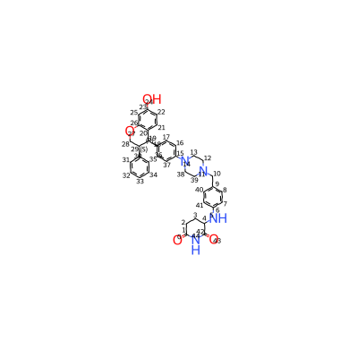 O=C1CCC(Nc2ccc(CN3CCN(c4ccc([C@@H]5c6ccc(O)cc6OC[C@@H]5c5ccccc5)cc4)CC3)cc2)C(=O)N1